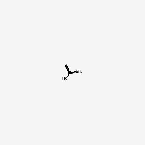 BC(=C)S